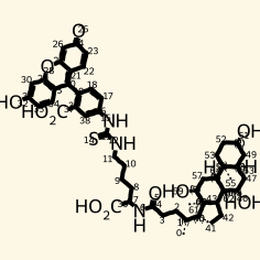 C[C@H](CCC(=O)NC(CCCCNC(=S)Nc1ccc(-c2c3ccc(=O)cc-3oc3cc(O)ccc23)c(C(=O)O)c1)C(=O)O)[C@H]1CCC2[C@@H]3[C@H](O)C[C@@H]4C[C@H](O)CC[C@]4(C)[C@H]3C[C@H](O)[C@@]21C